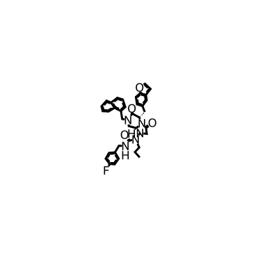 CCCN(C(=O)NCc1ccc(F)cc1)N1CC(=O)N2[C@@H](Cc3ccc4occc4c3)C(=O)N(Cc3cccc4ccccc34)C[C@@H]21